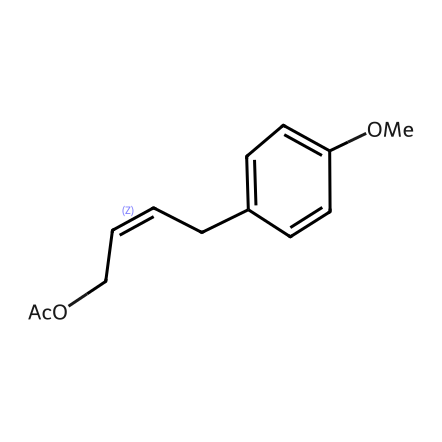 COc1ccc(C/C=C\COC(C)=O)cc1